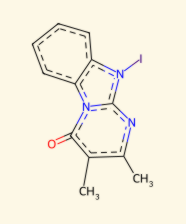 Cc1nc2n(I)c3ccccc3n2c(=O)c1C